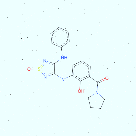 O=C(c1cccc(Nc2n[s+]([O-])nc2Nc2ccccc2)c1O)N1CCCC1